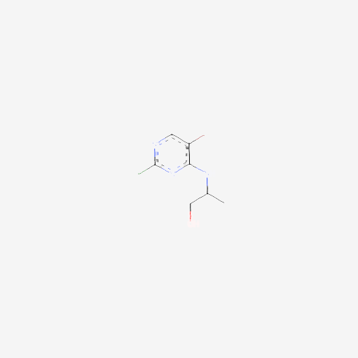 CC(CO)Nc1nc(Cl)ncc1Br